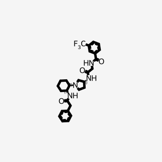 O=C(CNC(=O)c1cccc(C(F)(F)F)c1)N[C@@H]1CCN([C@@H]2CCCC[C@@H]2NC(=O)Cc2ccccc2)C1